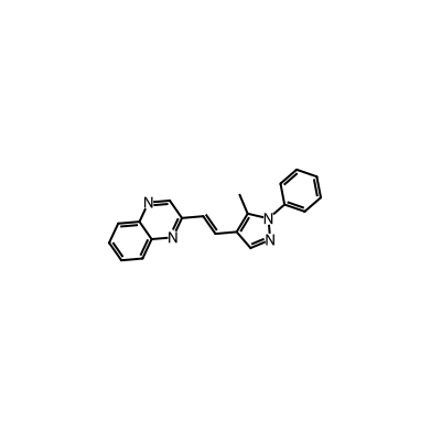 Cc1c(C=Cc2cnc3ccccc3n2)cnn1-c1ccccc1